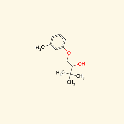 Cc1cccc(OCC(O)C(C)(C)C)c1